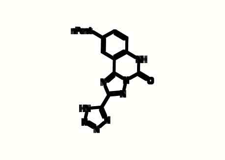 CCCCCc1ccc2[nH]c(=O)n3nc(-c4nnn[nH]4)nc3c2c1